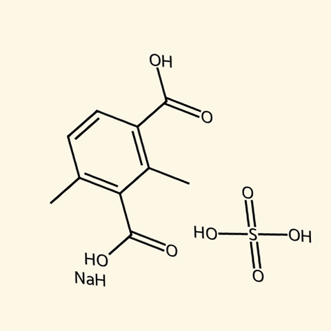 Cc1ccc(C(=O)O)c(C)c1C(=O)O.O=S(=O)(O)O.[NaH]